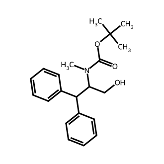 CN(C(=O)OC(C)(C)C)C(CO)C(c1ccccc1)c1ccccc1